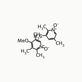 COc1c(C)c[n+]([O-])c(C)c1C.Cc1cc(C)c(C)[n+]([O-])c1